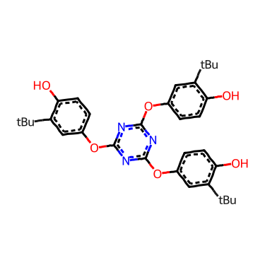 CC(C)(C)c1cc(Oc2nc(Oc3ccc(O)c(C(C)(C)C)c3)nc(Oc3ccc(O)c(C(C)(C)C)c3)n2)ccc1O